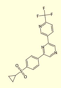 O=S(=O)(c1ccc(-c2cncc(-c3ccc(C(F)(F)F)nc3)n2)cc1)C1CC1